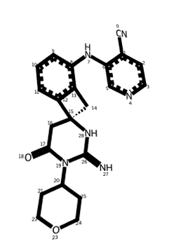 N#Cc1ccncc1Nc1cccc2c1C[C@]21CC(=O)N(C2CCOCC2)C(=N)N1